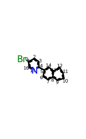 Brc1ccc(-c2ccc3ccccc3c2)nc1